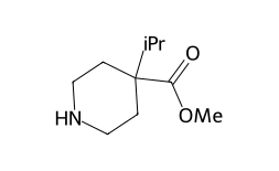 COC(=O)C1(C(C)C)CCNCC1